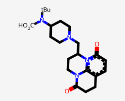 CC(C)(C)N(C(=O)O)C1CCN(CC2CCN3C(=O)CCc4ccc(=O)n2c43)CC1